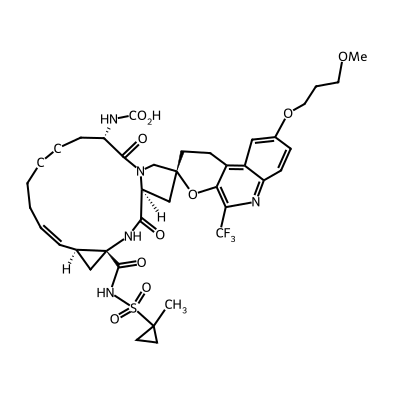 COCCCOc1ccc2nc(C(F)(F)F)c3c(c2c1)CC[C@]1(C[C@H]2C(=O)N[C@]4(C(=O)NS(=O)(=O)C5(C)CC5)C[C@H]4/C=C\CCCCC[C@H](NC(=O)O)C(=O)N2C1)O3